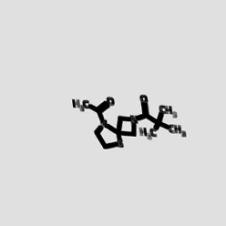 CC(=O)N1CCSC12CN(C(=O)C(C)(C)C)C2